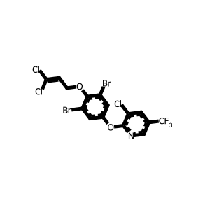 FC(F)(F)c1cnc(Oc2cc(Br)c(OCC=C(Cl)Cl)c(Br)c2)c(Cl)c1